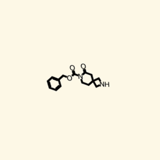 O=C1CC2(CCN1C(=O)OCc1ccccc1)CNC2